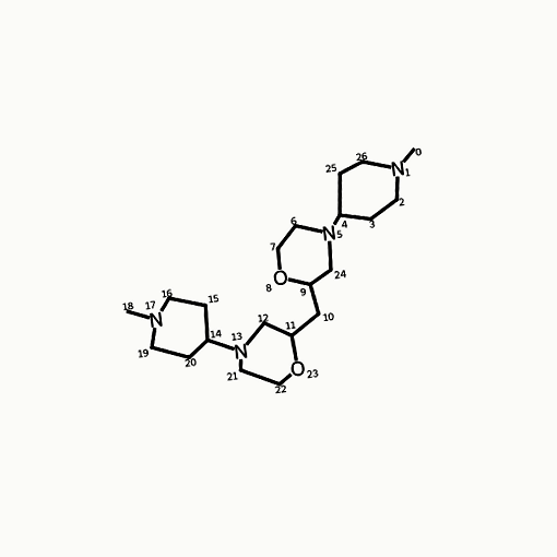 CN1CCC(N2CCOC(CC3CN(C4CCN(C)CC4)CCO3)C2)CC1